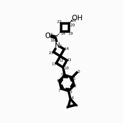 Cc1cc(C2CC2)ccc1C1CC2(C1)CN(C(=O)[C@H]1C[C@@H](O)C1)C2